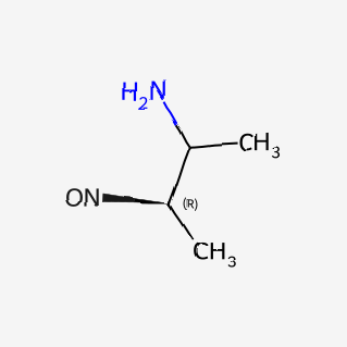 CC(N)[C@@H](C)N=O